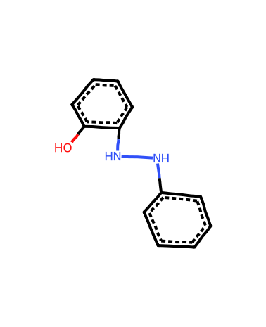 Oc1ccccc1NNc1ccccc1